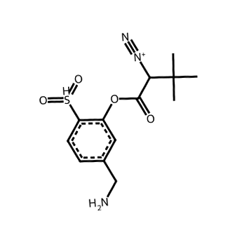 CC(C)(C)C([N+]#N)C(=O)Oc1cc(CN)ccc1[SH](=O)=O